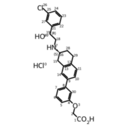 Cl.O=C(O)COc1cccc(-c2ccc3c(c2)C[C@@H](NC[C@H](O)c2cccc(Cl)c2)CC3)c1